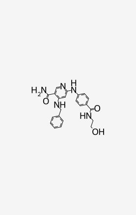 NC(=O)c1cnc(Nc2ccc(C(=O)NCCO)cc2)cc1NCc1ccccc1